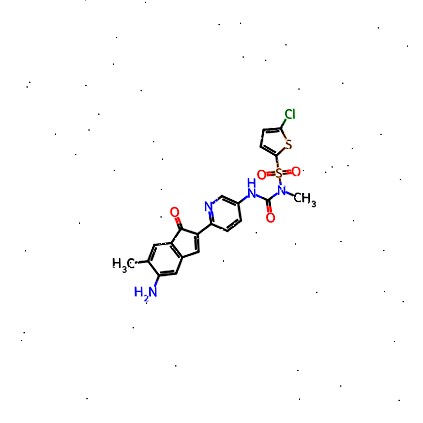 Cc1cc2c(cc1N)C=C(c1ccc(NC(=O)N(C)S(=O)(=O)c3ccc(Cl)s3)cn1)C2=O